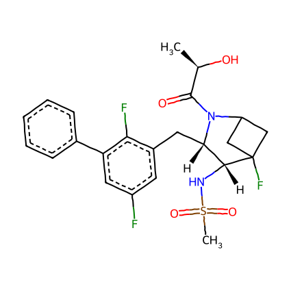 C[C@@H](O)C(=O)N1C2CC(F)(C2)[C@H](NS(C)(=O)=O)[C@@H]1Cc1cc(F)cc(-c2ccccc2)c1F